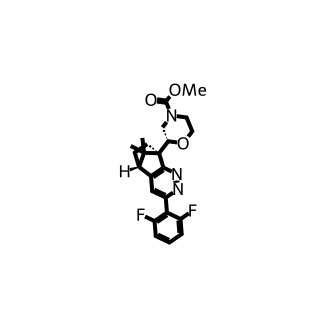 COC(=O)N1CCO[C@H]([C@@]23CC[C@@H](c4cc(-c5c(F)cccc5F)nnc42)C3(C)C)C1